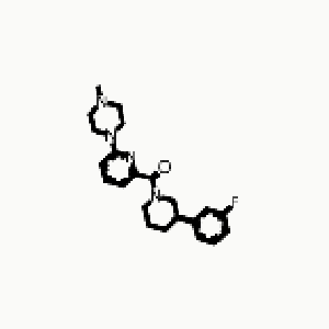 CN1CCN(c2cccc(C(=O)N3CCCC(c4cccc(F)c4)C3)n2)CC1